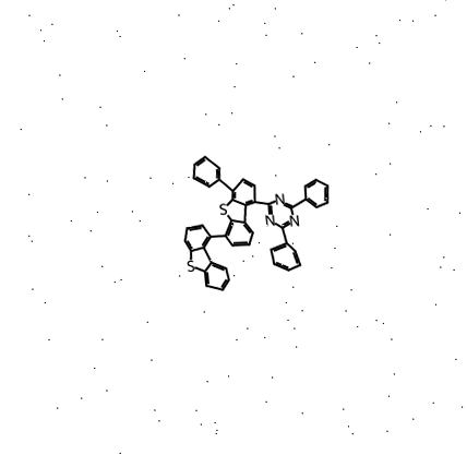 c1ccc(-c2nc(-c3ccccc3)nc(-c3ccc(-c4ccccc4)c4sc5c(-c6cccc7sc8ccccc8c67)cccc5c34)n2)cc1